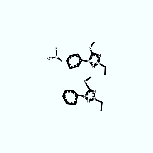 CCn1nc(SC)[n+](-c2ccccc2)n1.CCn1nc(SC)[n+](-c2ccccc2)n1.[O-]B([O-])F